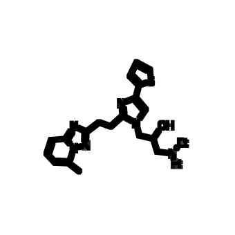 CCN(CC)CC(O)Cn1cc(-c2cccs2)nc1CCc1nc2cccc(C)n2n1